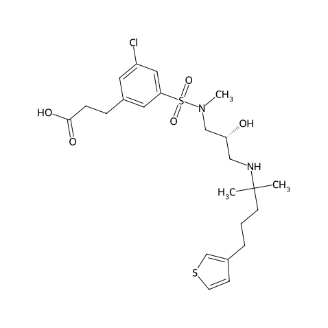 CN(C[C@H](O)CNC(C)(C)CCCc1ccsc1)S(=O)(=O)c1cc(Cl)cc(CCC(=O)O)c1